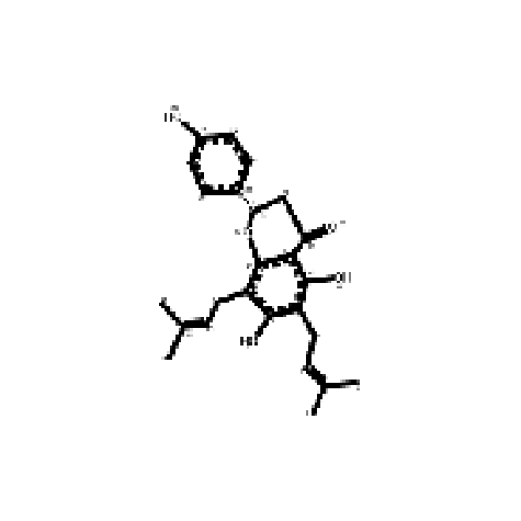 CC(C)=CCc1c(O)c(CC=C(C)C)c2c(c1O)C(=O)C[C@@H](c1ccc(O)cc1)O2